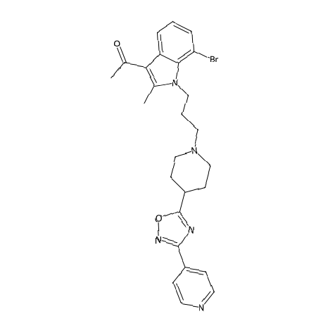 CC(=O)c1c(C)n(CCCN2CCC(c3nc(-c4ccncc4)no3)CC2)c2c(Br)cccc12